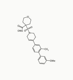 COC(=O)C1(S(=O)(=O)N2CC=C(c3ccc(-c4cccc(OC)c4)c(C)c3)CC2)CCOCC1